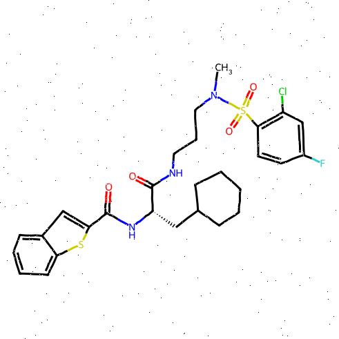 CN(CCCNC(=O)[C@H](CC1CCCCC1)NC(=O)c1cc2ccccc2s1)S(=O)(=O)c1ccc(F)cc1Cl